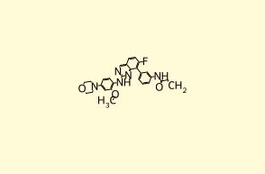 C=CC(=O)Nc1cccc(-c2c(F)ccc3cnc(Nc4ccc(N5CCOCC5)cc4OC)nc23)c1